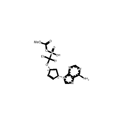 CCC(CC)(O[C@H]1C=C[C@@H](n2cnc3c(N)ncnc32)C1)P(=O)(O)OC(=O)OC